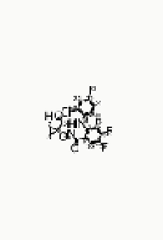 O=C(NOC1(CO)CC1)c1cc(F)c(F)c(F)c1Nc1ccc(I)cc1Cl